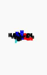 CN(C)c1nccc(-c2[nH]c(C3OCC(C)(CO)CO3)nc2-c2ccc(F)cc2)n1